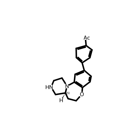 CC(=O)c1ccc(-c2ccc3c(c2)N2CCNC[C@@H]2CCO3)cc1